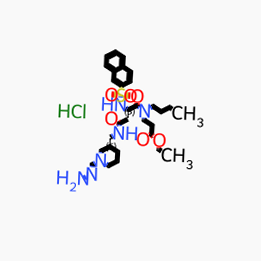 CCCCN(CCC(=O)OCC)C(=O)[C@H](CC(=O)NC[C@@H]1CCCN(C=NN)C1)NS(=O)(=O)c1ccc2ccccc2c1.Cl